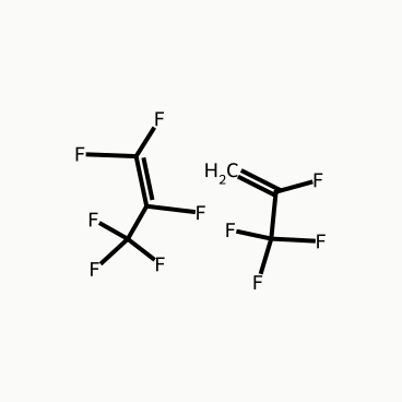 C=C(F)C(F)(F)F.FC(F)=C(F)C(F)(F)F